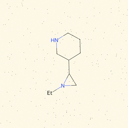 CCN1CC1C1CCCNC1